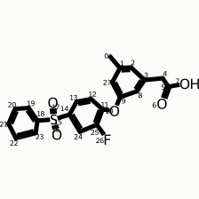 Cc1cc(CC(=O)O)cc(Oc2ccc(S(=O)(=O)c3ccccc3)cc2F)c1